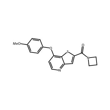 COc1ccc(Oc2ccnc3cc(C(=O)N4CCC4)sc23)cc1